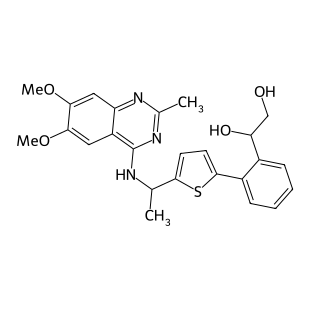 COc1cc2nc(C)nc(NC(C)c3ccc(-c4ccccc4C(O)CO)s3)c2cc1OC